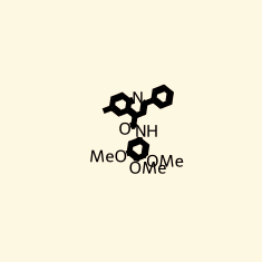 COc1cc(NC(=O)c2cc(-c3ccccc3)nc3ccc(C)cc23)cc(OC)c1OC